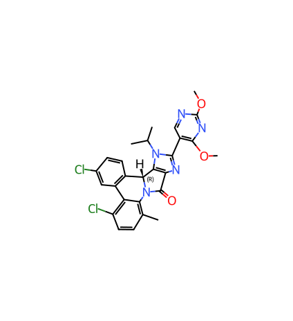 COc1ncc(-c2nc3c(n2C(C)C)[C@H]2c4ccc(Cl)cc4-c4c(Cl)ccc(C)c4N2C3=O)c(OC)n1